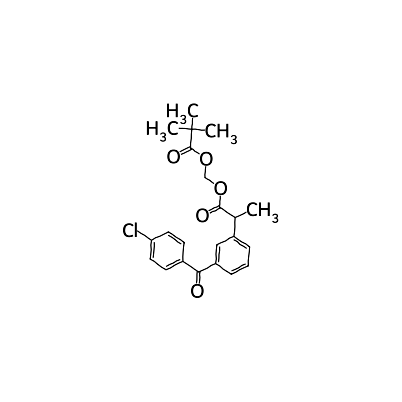 CC(C(=O)OCOC(=O)C(C)(C)C)c1cccc(C(=O)c2ccc(Cl)cc2)c1